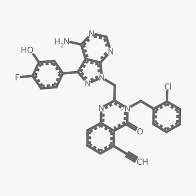 C#Cc1cccc2nc(Cn3nc(-c4ccc(F)c(O)c4)c4c(N)ncnc43)n(Cc3ccccc3Cl)c(=O)c12